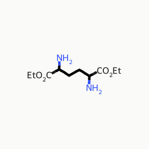 CCOC(=O)C(N)CCC(N)C(=O)OCC